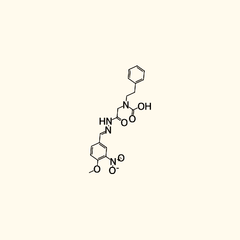 COc1ccc(C=NNC(=O)CN(CCc2ccccc2)C(=O)O)cc1[N+](=O)[O-]